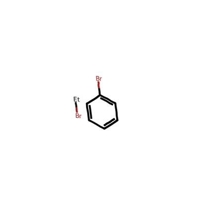 Brc1ccccc1.CCBr